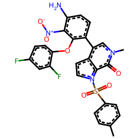 Cc1ccc(S(=O)(=O)n2ccc3c(-c4ccc(N)c([N+](=O)[O-])c4Oc4ccc(F)cc4F)cn(C)c(=O)c32)cc1